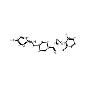 O=C([C@@H]1C[C@H]1c1c(F)cccc1F)N1CCC(CNc2ncc(F)cn2)CC1